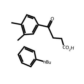 CCCCc1ccccc1.Cc1ccc(C(=O)CCC(=O)O)cc1C